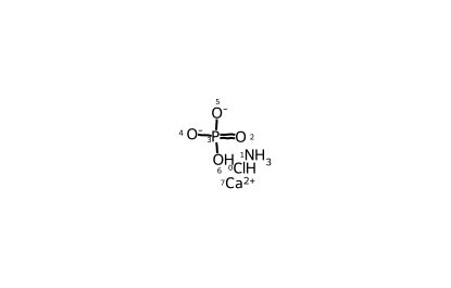 Cl.N.O=P([O-])([O-])O.[Ca+2]